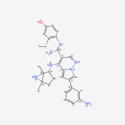 CCc1cc(O)ccc1/N=C(\N)c1cnn2cc(-c3cccc(N)c3)cc2c1NC1CCC2(C)NC12C